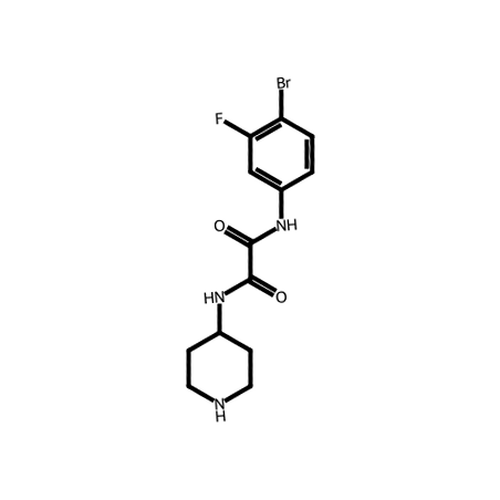 O=C(Nc1ccc(Br)c(F)c1)C(=O)NC1CCNCC1